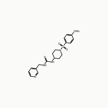 COc1ccc(S(=O)(=O)N2CCC(NC(=O)NCc3cccnc3)CC2)cc1